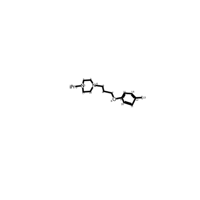 CC(C)N1CCN(CCCOc2ccc(I)cc2)CC1